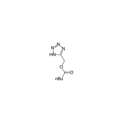 CCCCC(=O)OCc1nnn[nH]1